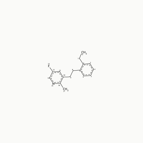 CCc1ccccc1CCc1cc(F)cnc1C